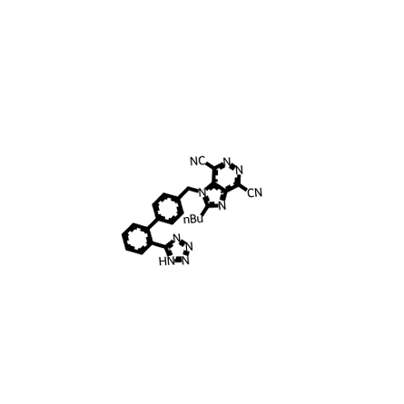 CCCCc1nc2c(C#N)nnc(C#N)c2n1Cc1ccc(-c2ccccc2-c2nnn[nH]2)cc1